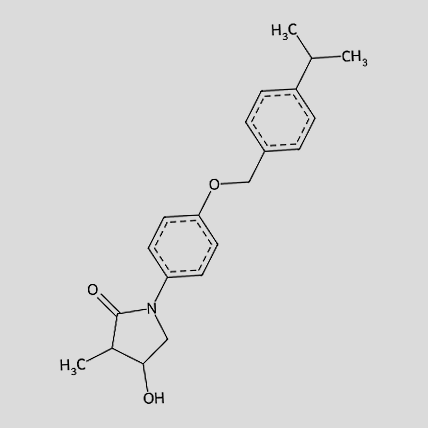 CC(C)c1ccc(COc2ccc(N3CC(O)C(C)C3=O)cc2)cc1